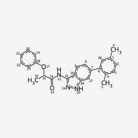 Cc1ccc(C)c(-c2ccc3c(NC(=O)C(C)Oc4ccccc4)n[nH]c3c2)c1